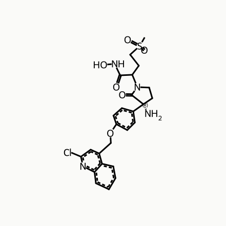 CS(=O)(=O)CCC(C(=O)NO)N1CC[C@@](N)(c2ccc(OCc3cc(Cl)nc4ccccc34)cc2)C1=O